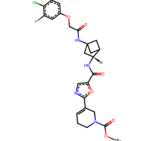 CC(C)(C)OC(=O)N1CCC=C(c2ncc(C(=O)N[C@@H]3CC4(NC(=O)COc5ccc(Cl)c(F)c5)CC3C4)o2)C1